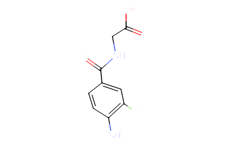 Nc1ccc(C(=O)NCC(=O)O)cc1[19F]